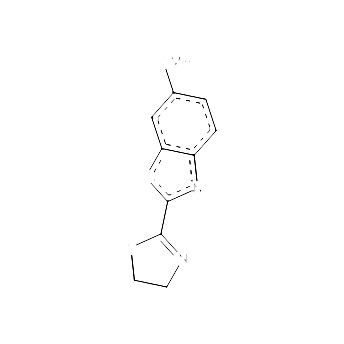 COc1ccc2nc(C3=N[CH]CS3)sc2c1